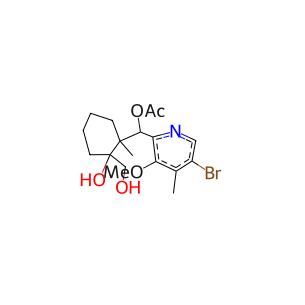 COc1c(C(OC(C)=O)C2(C)CCCCC2(O)CO)ncc(Br)c1C